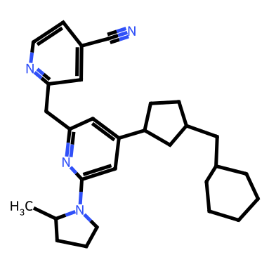 CC1CCCN1c1cc(C2CCC(CC3CCCCC3)C2)cc(Cc2cc(C#N)ccn2)n1